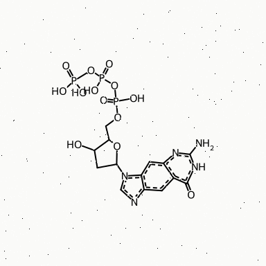 Nc1nc2cc3c(cc2c(=O)[nH]1)ncn3C1CC(O)C(COP(=O)(O)OP(=O)(O)OP(=O)(O)O)O1